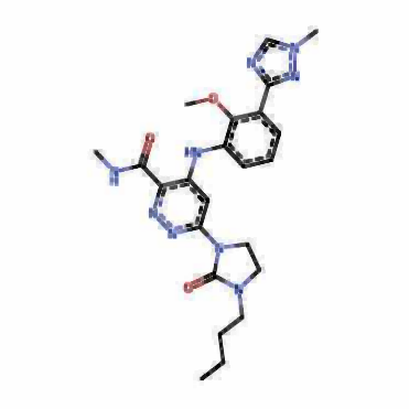 CCCCN1CCN(c2cc(Nc3cccc(-c4ncn(C)n4)c3OC)c(C(=O)NC)nn2)C1=O